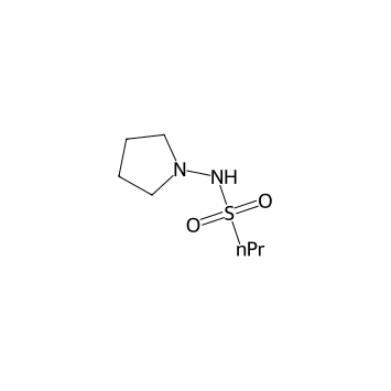 CCCS(=O)(=O)NN1CCCC1